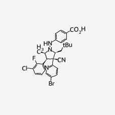 C[C@@H]1[C@H](c2cccc(Cl)c2F)[C@@](C#N)(c2ccc(Br)cn2)[C@H](CC(C)(C)C)N1Nc1ccc(C(=O)O)cc1